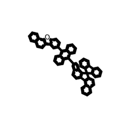 c1ccc2c(c1)-c1ccccc1C21c2ccc3ccccc3c2-c2ccc3cc(-c4c5ccccc5c(-c5ccc6oc7c8ccccc8ccc7c6c5)c5ccccc45)ccc3c21